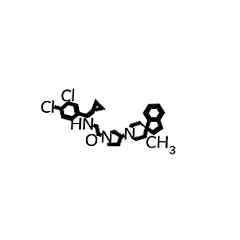 C[C@H]1CN(C2CCN(C(=O)CNC(C3=CC(Cl)C(Cl)C=C3)=C3CC3)C2)CC[C@@]12C=Cc1ccccc12